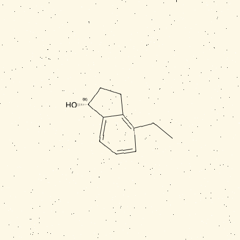 CCc1cccc2c1CC[C@H]2O